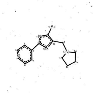 CC(=O)c1nc(-c2ccccc2)sc1CN1CCCC1